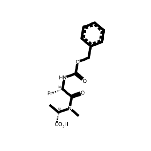 CC(C)[C@H](NC(=O)OCc1ccccc1)C(=O)N(C)[C@@H](C)C(=O)O